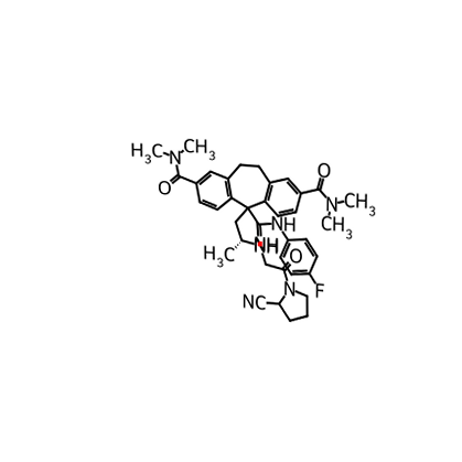 C[C@H](CC1(C(=N)Nc2ccc(F)cc2)c2ccc(C(=O)N(C)C)cc2CCc2cc(C(=O)N(C)C)ccc21)NCC(=O)N1CCCC1C#N